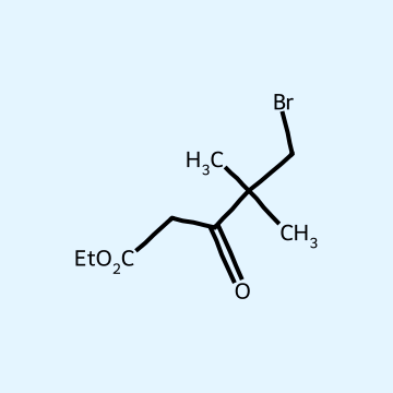 CCOC(=O)CC(=O)C(C)(C)CBr